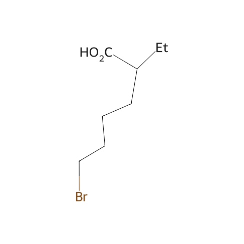 CCC(CCCCBr)C(=O)O